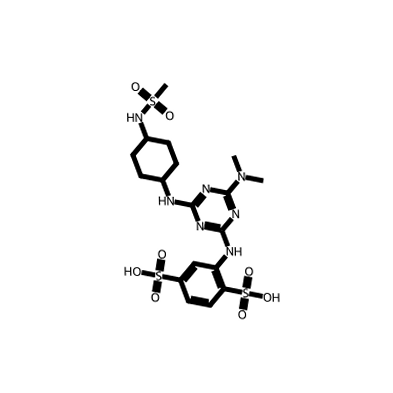 CN(C)c1nc(Nc2cc(S(=O)(=O)O)ccc2S(=O)(=O)O)nc(NC2CCC(NS(C)(=O)=O)CC2)n1